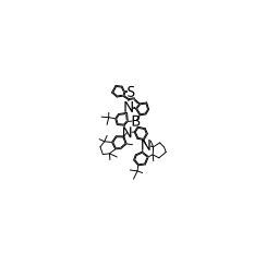 Cc1cc2c(cc1N1c3cc(N4c5ccc(C(C)(C)C)cc5C5(C)CCCCC45C)ccc3B3c4c1cc(C(C)(C)C)cc4-n1c4c3cccc4c3sc4ccccc4c31)C(C)(C)CCC2(C)C